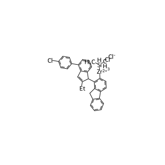 CCC1=Cc2c(-c3ccc(Cl)cc3)cccc2C1c1[c]([Zr+2][SiH](C)C)ccc2c1Cc1ccccc1-2.[Cl-].[Cl-]